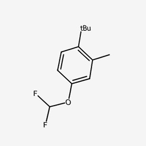 Cc1cc(OC(F)F)ccc1C(C)(C)C